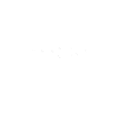 CC(C)(C)[S+]([O-])N[C@@](c1ccc(F)cc1)(c1cnc(N2CCN(C(=O)O)CC2)nc1)C(F)(F)F